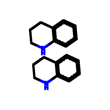 c1ccc2c(c1)CCCN2.c1ccc2c(c1)CCCN2